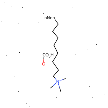 CCCCCCCCCCCCCCCCC[N+](C)(C)C.O=C([O-])O